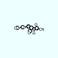 N#CC1=Cc2[nH]c3c(c2C(=O)C1)Cc1ccc(N2CCC(N4CCOCC4)CC2)cc1C31CCOCC1